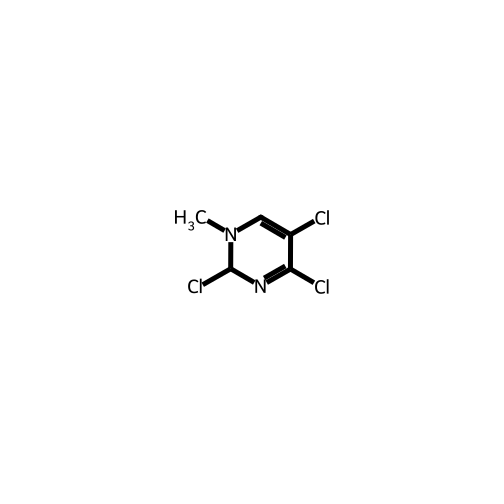 CN1C=C(Cl)C(Cl)=NC1Cl